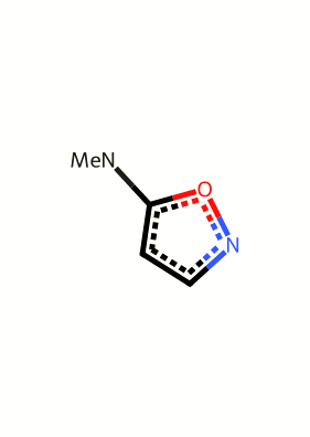 CNc1ccno1